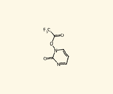 O=C(On1cccnc1=O)C(F)(F)F